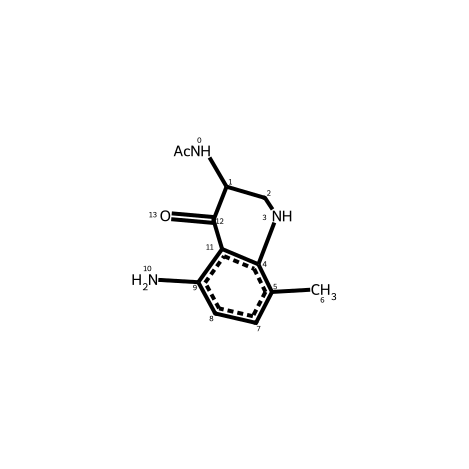 CC(=O)NC1CNc2c(C)ccc(N)c2C1=O